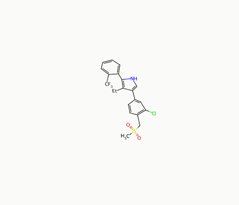 CCc1c(-c2ccc(CS(C)(=O)=O)c(Cl)c2)c[nH]c1-c1ccccc1C(F)(F)F